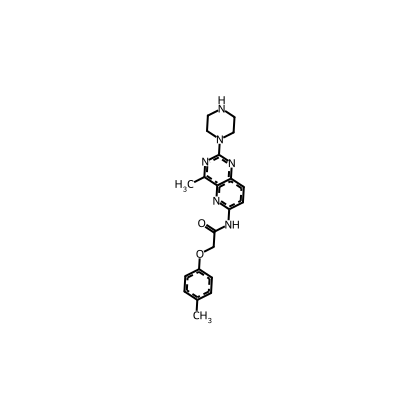 Cc1ccc(OCC(=O)Nc2ccc3nc(N4CCNCC4)nc(C)c3n2)cc1